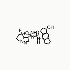 NS(=O)(=NC(=O)Nc1c2c(cc3c1CCC3O)CCC2)c1cnn2c1C(F)(F)CCC2